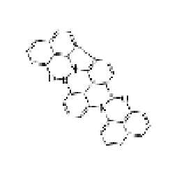 c1cc2c3c(c1)N1B(Oc4cccc5cccc1c45)c1ccc4c5ccc6cccc7c6c5n(c4c1-3)B2O7